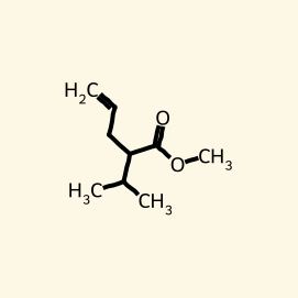 C=CCC(C(=O)OC)C(C)C